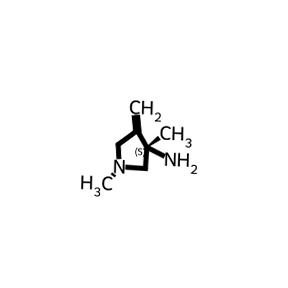 C=C1CN(C)C[C@@]1(C)N